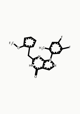 Cc1cc(F)c(F)cc1-n1ncc2c(=O)[nH]c(Cc3ccccc3OC(F)(F)F)nc21